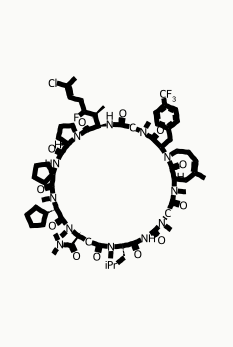 C/C1=C/CCN2C(=O)[C@H](C1)N(C)C(=O)CN(C)C(=O)NC(=O)[C@H](CC(C)C)N(C)C(=O)C[C@@H](C(=O)N(C)C)N(C)C(=O)[C@H](C1CCCC1)N(C)C(=O)C1(CCCC1)NC(=O)[C@@H]1CCCN1C(=O)[C@@H]([C@H](C)C(F)C/C=C(\C)Cl)NC(=O)CN(C)C(=O)C2Cc1ccc(C(F)(F)F)cc1